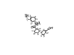 NCc1cccc(NC(=O)c2cccc(-c3cccc(O)c3)c2)c1